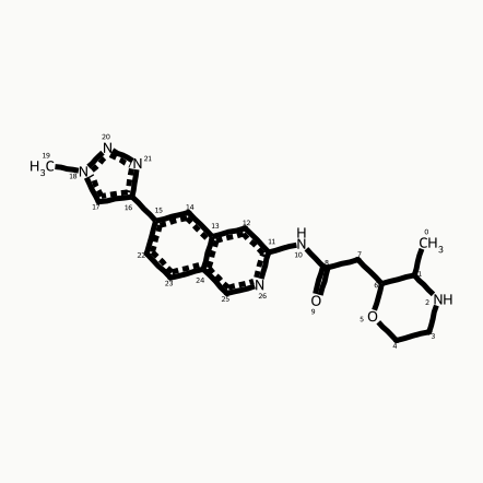 CC1NCCOC1CC(=O)Nc1cc2cc(-c3cn(C)nn3)ccc2cn1